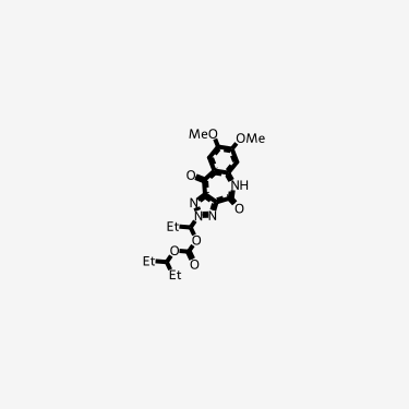 CCC(CC)OC(=O)OC(CC)n1nc2c(=O)[nH]c3cc(OC)c(OC)cc3c(=O)c2n1